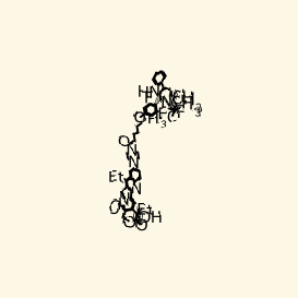 CCc1c2c(nc3ccc(N4CCN(C(=O)CCCCCOc5cc(F)c([C@@H]6c7[nH]c8ccccc8c7C[C@@H](C)N6CC(C)(C)F)c(F)c5)CC4)cc13)-c1cc3c(c(=O)n1C2)COC(=O)[C@]3(O)CC